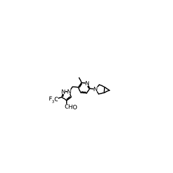 Cc1nc(N2CC3CC3C2)ccc1Cn1cc(C=O)c(C(F)(F)F)n1